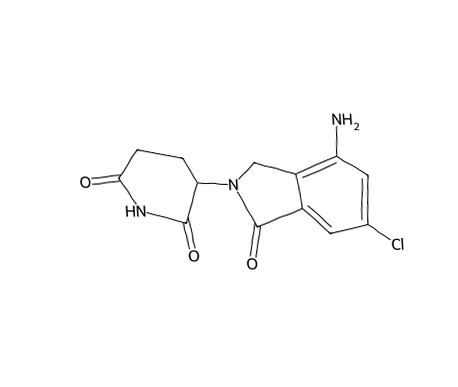 Nc1cc(Cl)cc2c1CN(C1CCC(=O)NC1=O)C2=O